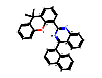 CC1(C)c2ccccc2Oc2c(-c3nc(-c4cccc5ccccc45)c4ccccc4n3)cccc21